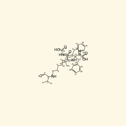 CC(C)C(C=O)NCCCCCCCC(Cc1ccccc1)C(Cc1ccccc1)(NC(=O)O)NC(C(=O)NC(=O)O)C(C)C